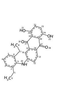 CCc1cccc(CC)c1Nc1ccc2c(c1)C(=O)c1c(O)ccc(O)c1C2=O